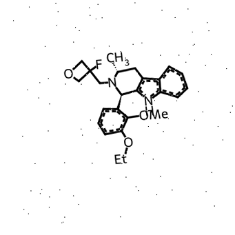 [CH2]COc1cccc([C@@H]2c3[nH]c4ccccc4c3C[C@@H](C)N2CC2(F)COC2)c1OC